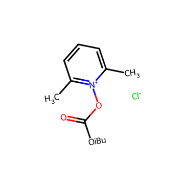 Cc1cccc(C)[n+]1OC(=O)OCC(C)C.[Cl-]